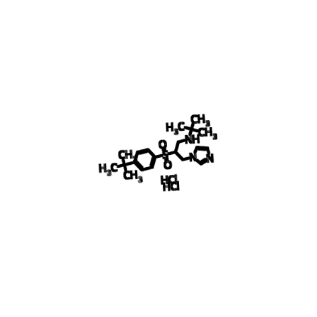 CC(C)(C)NCC(Cn1ccnc1)S(=O)(=O)c1ccc(C(C)(C)C)cc1.Cl.Cl